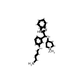 CN1CCC(OC(c2cccc(SC/C=C/CN)c2)c2nc3ccccc3[nH]2)CC1